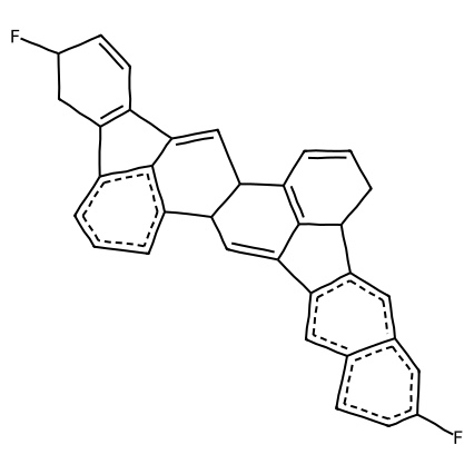 Fc1ccc2cc3c(cc2c1)C1CC=CC2=C1C3=CC1c3cccc4c3C(=CC21)C1=C4CC(F)C=C1